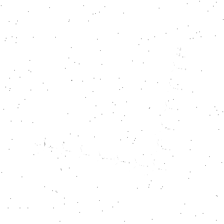 N.N.OB(O)O.OB(O)O.OB(O)O.OB(O)O.OB(O)O.OB(O)O.OB(O)O.OB(O)O.OB(O)O.OB(O)O.OB(O)O.OB(O)O.[NaH]